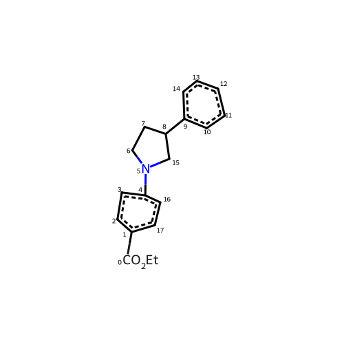 CCOC(=O)c1ccc(N2CCC(c3ccccc3)C2)cc1